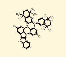 Cc1cc2c3c(c1)-n1c4c(cc(C(C)(C)C)cc4c4sc5ccccc5c41)B3c1cc3c(cc1N2c1ccc2c(c1)C(C)(C)CCC2(C)C)C(C)(C)CCC3(C)C